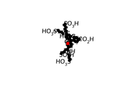 O=C(O)c1ccc(-c2c3ccc(=[N+](CCCCS(=O)(=O)O)CCCCS(=O)(=O)O)cc-3oc3cc(C(CCCS(=O)(=O)O)NCCCCS(=O)(=O)O)ccc23)c(C(=O)O)c1